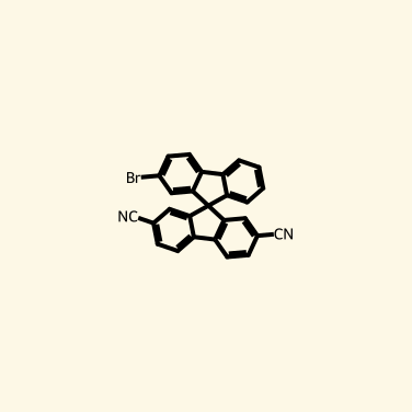 N#Cc1ccc2c(c1)C1(c3ccccc3-c3ccc(Br)cc31)c1cc(C#N)ccc1-2